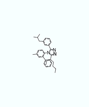 CCCCC(CC)c1nnc(-c2cccc(CC(C)C)c2)n1-c1ccc(C)cc1-c1ccccc1